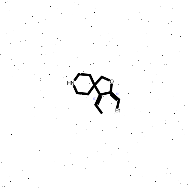 C/C=C1\C(=C/CC)OCC12CCNCC2